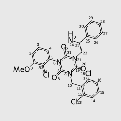 COc1cccc(-n2c(=O)n(Cc3c(Cl)cccc3Cl)c(=O)n(CC(N)c3ccccc3)c2=O)c1Cl